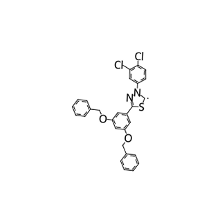 Clc1ccc(N2[CH]SC(c3cc(OCc4ccccc4)cc(OCc4ccccc4)c3)=N2)cc1Cl